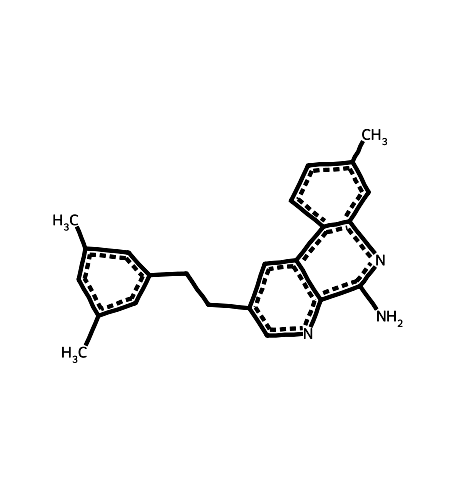 Cc1cc(C)cc(CCc2cnc3c(N)nc4cc(C)ccc4c3c2)c1